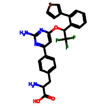 Nc1nc(O[C@@H](c2ccccc2-c2ccsc2)C(F)(F)F)cc(-c2ccc(CC(N)C(=O)O)cc2)n1